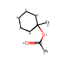 CCC1(OC(=O)C(C)C)CCCCC1